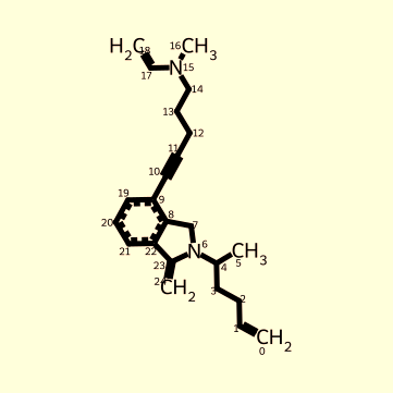 C=CCCC(C)N1Cc2c(C#CCCCN(C)C=C)cccc2C1=C